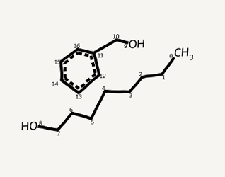 CCCCCCCCO.OCc1ccccc1